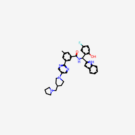 Cc1cc(C(=O)NC(c2cc3ccccc3[nH]2)c2cc(F)ccc2O)cc(-c2ncc(N3CCC(CN4CCCC4)CC3)cn2)c1